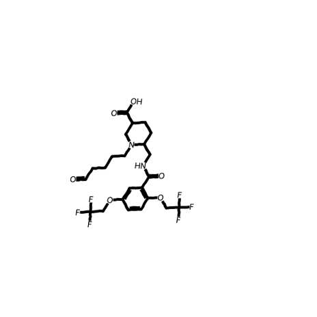 O=CCCCCN1CC(C(=O)O)CCC1CNC(=O)c1cc(OCC(F)(F)F)ccc1OCC(F)(F)F